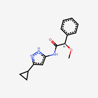 CO[C@@H](C(=O)Nc1cc(C2CC2)n[nH]1)c1ccccc1